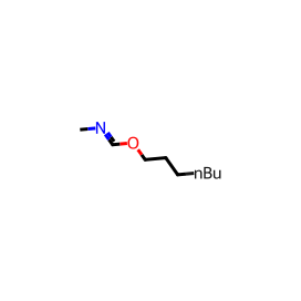 CCCCCCCOC=NC